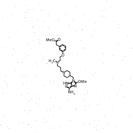 COC(=O)Cc1cccc(OCCN(C)CCCN2CCC(Cn3c(OC)nc4c(N)n[nH]c43)CC2)c1